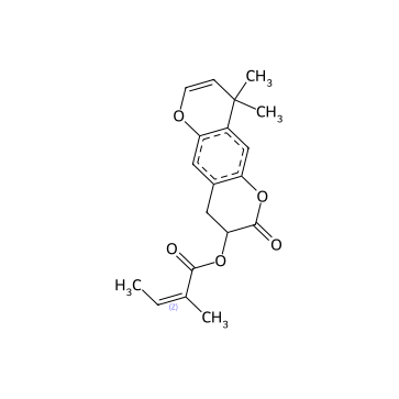 C/C=C(/C)C(=O)OC1Cc2cc3c(cc2OC1=O)C(C)(C)C=CO3